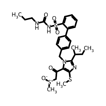 CCCNC(=O)NS(=O)(=O)c1ccccc1-c1ccc(Cn2c(C(C)CC)nc(SC)c2C(=O)C[S+](C)[O-])cc1